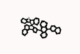 c1ccc2c(c1)-c1oc3ccccc3c1C21c2cc(-c3c4ccccc4c(-c4ccc5ccccc5c4)c4ccccc34)ccc2-c2c1ccc1ccccc21